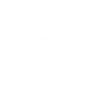 CC(=O)O[C@@H](C(=O)O)[C@@H](OC(C)=O)C(=O)N(CCCl)c1ccc(C(C)(C)C)cc1